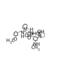 CCNc1cc(C(=O)N[C@@H](Cc2ccccn2)C(O)CNCc2cccc(OC)c2)cc(N2CCCCS2(O)O)c1